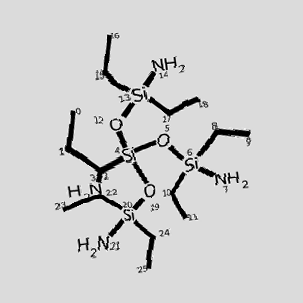 CCC(N)[Si](O[Si](N)(CC)CC)(O[Si](N)(CC)CC)O[Si](N)(CC)CC